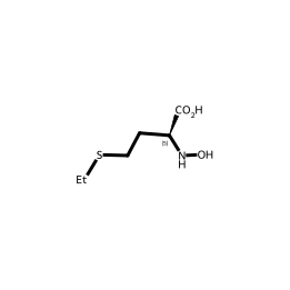 CCSCC[C@H](NO)C(=O)O